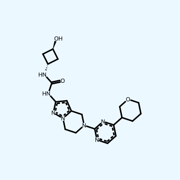 O=C(Nc1cc2n(n1)CCN(c1nccc(C3CCCOC3)n1)C2)N[C@H]1C[C@H](O)C1